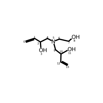 C=CC(O)CN(CCO)CC(O)C=C